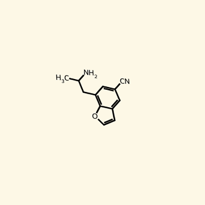 CC(N)Cc1cc(C#N)cc2ccoc12